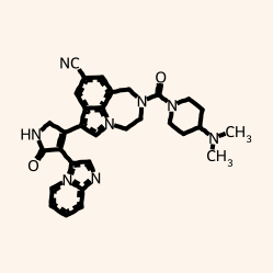 CN(C)C1CCN(C(=O)N2CCn3cc(C4=C(c5cnc6ccccn56)C(=O)NC4)c4cc(C#N)cc(c43)C2)CC1